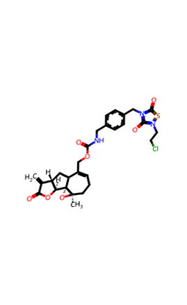 C=C1C(=O)O[C@H]2[C@H]1CC1C(COC(=O)NCc3ccc(Cn4c(=O)sn(CCCl)c4=O)cc3)=CCC[C@@]3(C)O[C@@]123